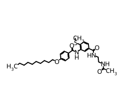 CCCCCCCCCCOc1ccc(C(=O)Nc2cc(C(=O)NCCNC(C)=O)ccc2SC)cc1